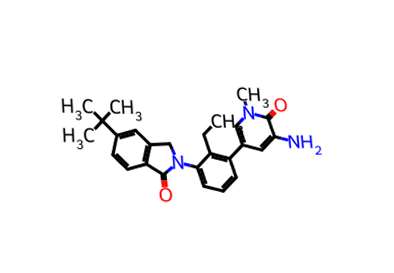 CCc1c(-c2cc(N)c(=O)n(C)c2)cccc1N1Cc2cc(C(C)(C)C)ccc2C1=O